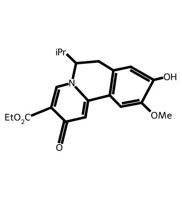 CCOC(=O)c1cn2c(cc1=O)-c1cc(OC)c(O)cc1CC2C(C)C